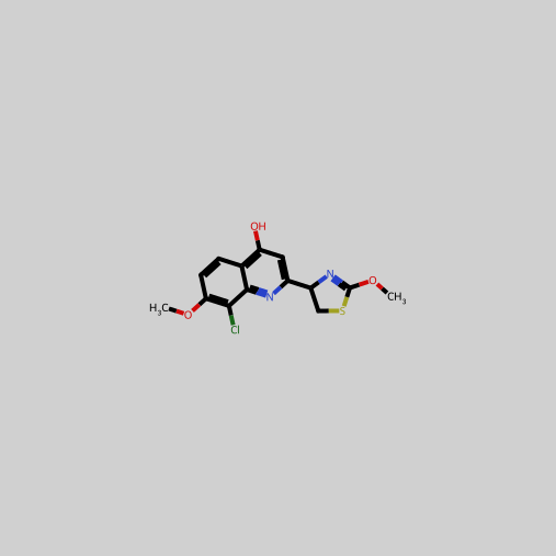 COC1=NC(c2cc(O)c3ccc(OC)c(Cl)c3n2)CS1